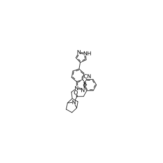 N#Cc1cccc(CC(=O)N2C3CCC2C(Cn2ncc4cc(-c5cn[nH]c5)ccc42)C3)c1